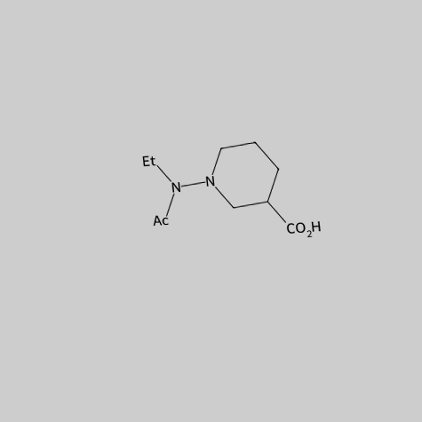 CCN(C(C)=O)N1CCCC(C(=O)O)C1